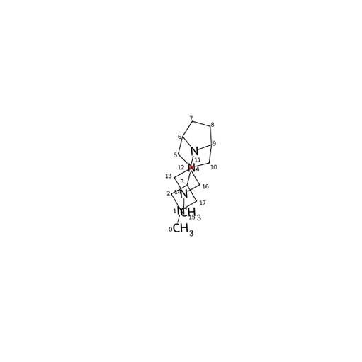 CN1CC(N2CC3CCC(C2)N3C2CN(C)C2)C1